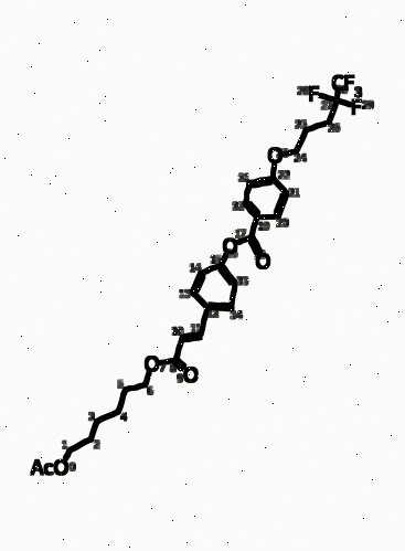 CC(=O)OCCCCCCOC(=O)/C=C/c1ccc(OC(=O)c2ccc(OCCCC(F)(F)C(F)(F)F)cc2)cc1